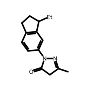 CCC1CCc2ccc(N3N=C(C)CC3=O)cc21